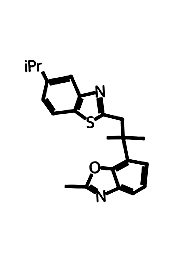 Cc1nc2cccc(C(C)(C)Cc3nc4cc(C(C)C)ccc4s3)c2o1